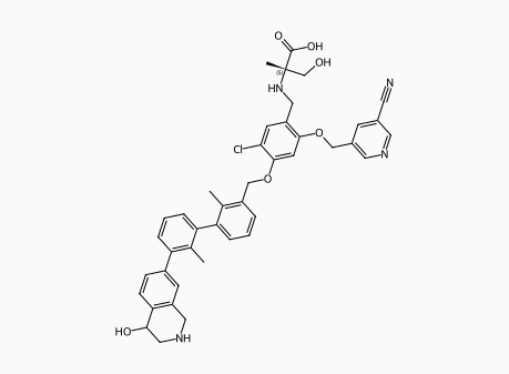 Cc1c(COc2cc(OCc3cncc(C#N)c3)c(CN[C@@](C)(CO)C(=O)O)cc2Cl)cccc1-c1cccc(-c2ccc3c(c2)CNCC3O)c1C